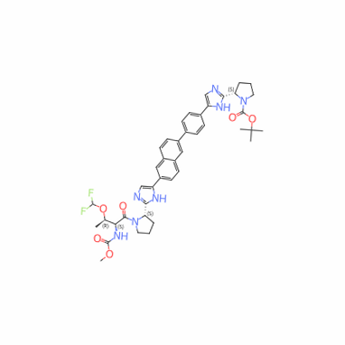 COC(=O)N[C@H](C(=O)N1CCC[C@H]1c1ncc(-c2ccc3cc(-c4ccc(-c5cnc([C@@H]6CCCN6C(=O)OC(C)(C)C)[nH]5)cc4)ccc3c2)[nH]1)[C@@H](C)OC(F)F